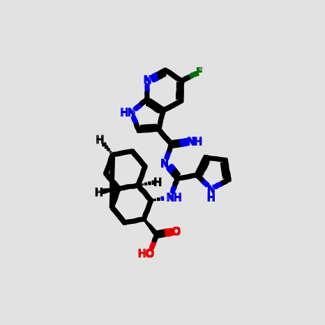 N=C(/N=C(/N[C@H]1[C@@H]2CC[C@@H]3C[C@H]2C3C[C@@H]1C(=O)O)c1ccc[nH]1)c1c[nH]c2ncc(F)cc12